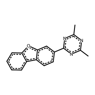 Cc1nc(C)nc(-c2ccc3c(c2)oc2ccccc23)n1